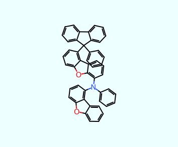 c1ccc(N(c2cccc3c2oc2cccc(C4(c5ccccc5)c5ccccc5-c5ccccc54)c23)c2cccc3oc4ccccc4c23)cc1